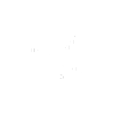 CC1=C[C](C)([Zr+3])C=C1.[Cl-].[Cl-].[Cl-]